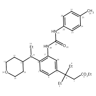 CCOC(=O)CC(CC)(CC)c1ccc(N(CC)C2CCOCC2)c(NC(=O)Nc2ccc(C)cc2)c1